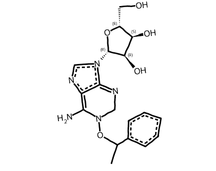 CC(ON1CN=c2c(ncn2[C@@H]2O[C@H](CO)[C@@H](O)[C@H]2O)=C1N)c1ccccc1